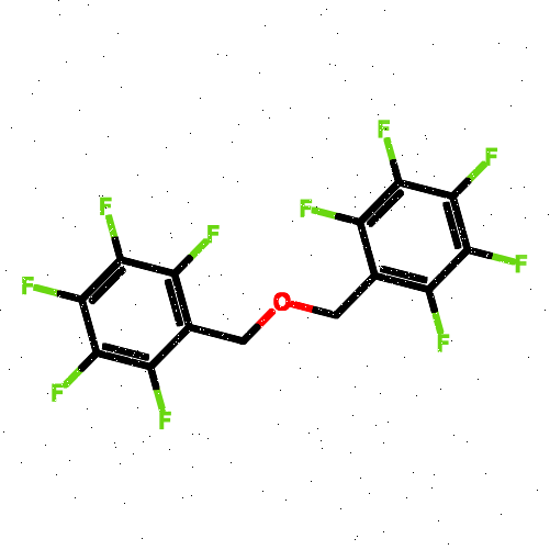 Fc1c(F)c(F)c(COCc2c(F)c(F)c(F)c(F)c2F)c(F)c1F